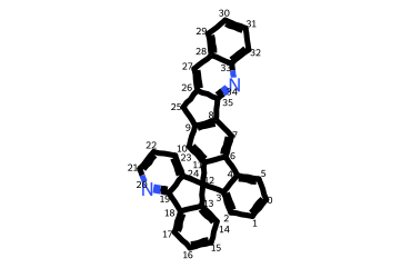 c1ccc2c(c1)-c1cc3c(cc1C21c2ccccc2-c2ncccc21)Cc1cc2ccccc2nc1-3